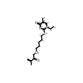 C=C(C)C(=O)COCCCCCSc1nc(=O)c(C)cn1CC